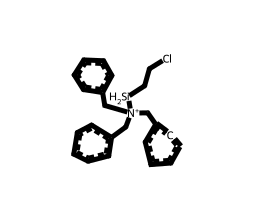 ClCC[SiH2][N+](Cc1ccccc1)(Cc1ccccc1)Cc1ccccc1